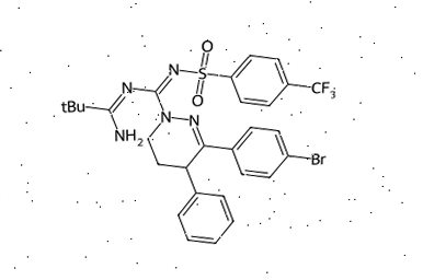 CC(C)(C)/C(N)=N/C(=N/S(=O)(=O)c1ccc(C(F)(F)F)cc1)N1CCC(c2ccccc2)C(c2ccc(Br)cc2)=N1